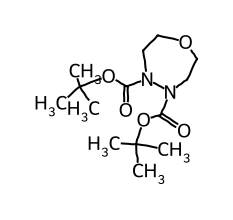 CC(C)(C)OC(=O)N1CCOCCN1C(=O)OC(C)(C)C